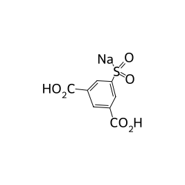 O=C(O)c1cc(C(=O)O)cc([S](=O)(=O)[Na])c1